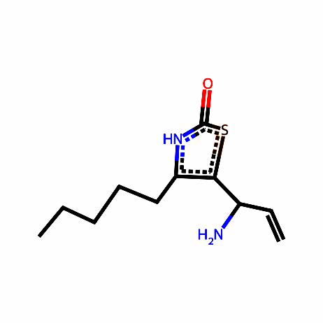 C=CC(N)c1sc(=O)[nH]c1CCCCC